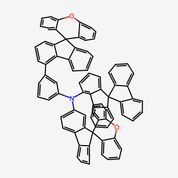 c1cc(-c2cccc3c2-c2ccccc2C32c3ccccc3Oc3ccccc32)cc(N(c2ccc3c(c2)C2(c4ccccc4Oc4ccccc42)c2ccccc2-3)c2cccc3c2-c2ccccc2C32c3ccccc3-c3ccccc32)c1